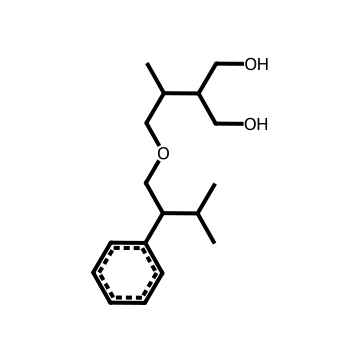 CC(C)C(COCC(C)C(CO)CO)c1ccccc1